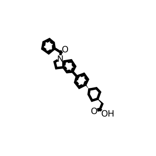 O=C(O)C[C@H]1CC[C@H](c2ccc(-c3ccc4c(c3)CCN4C(=O)c3ccccc3)cc2)CC1